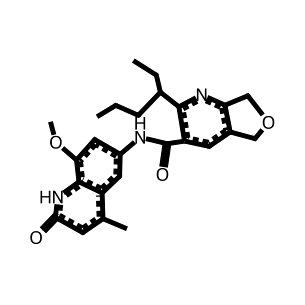 CCCC(CC)c1nc2c(cc1C(=O)Nc1cc(OC)c3[nH]c(=O)cc(C)c3c1)COC2